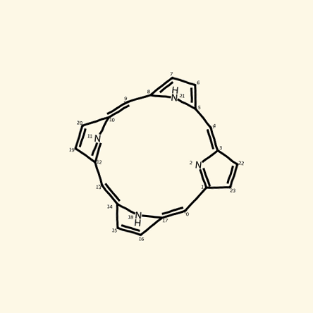 [c]1c2nc([c]c3ccc([c]c4nc([c]c5ccc1[nH]5)C=C4)[nH]3)C=C2